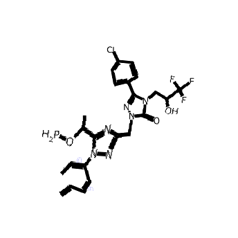 C=C/C=C\C(=C/C)n1nc(Cn2nc(-c3ccc(Cl)cc3)n(CC(O)C(F)(F)F)c2=O)nc1C(C)OP